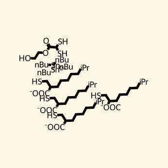 CC(C)CCCCCC(CS)C(=O)[O-].CC(C)CCCCCC(CS)C(=O)[O-].CC(C)CCCCCC(CS)C(=O)[O-].CC(C)CCCCCC(CS)C(=O)[O-].CCC[CH2][Sn+2][CH2]CCC.CCC[CH2][Sn][CH2]CCC.O=C(OCCO)C(S)S